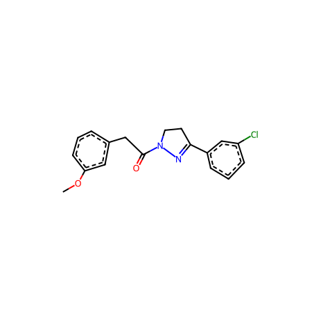 COc1cccc(CC(=O)N2CCC(c3cccc(Cl)c3)=N2)c1